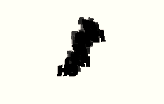 Cc1ccnc(Nc2cccc(-c3cnc([C@H](C)NC(=O)CO)s3)n2)c1